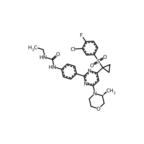 CCNC(=O)Nc1ccc(-c2nc(N3CCOC[C@@H]3C)cc(C3(S(=O)(=O)c4ccc(F)c(Cl)c4)CC3)n2)cc1